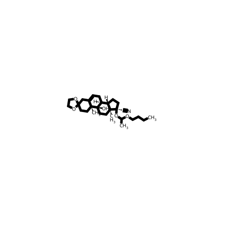 CCCCOC(C)O[C@]1(C#N)CC[C@H]2[C@@H]3CC=C4CC5(CC[C@]4(C)[C@@]3(O)CC[C@@]21C)OCCO5